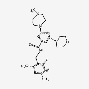 Cc1cc(C)c(CNC(=O)c2cc(N3CCOCC3)nc(N3CCN(C)CC3)c2)c(=O)[nH]1